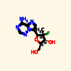 C[C@]1(F)C(c2cnc3c(N)ncnn23)O[C@H](CO)[C@H]1O